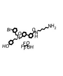 NCCCCCCNC(=O)c1cccc(-c2cccc(CN(CCc3ccc(O)cc3)C(=O)Cc3cccc(Br)c3)c2)c1.O=C(O)C(F)(F)F